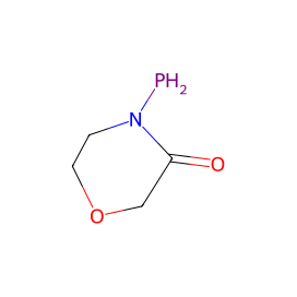 O=C1COCCN1P